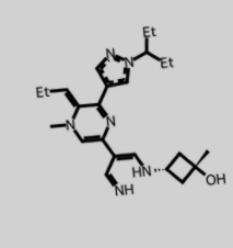 CC/C=C1/C(c2cnn(C(CC)CC)c2)=NC(/C(C=N)=C/N[C@H]2C[C@@](C)(O)C2)=CN1C